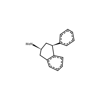 CN[C@@H]1Cc2ccccc2[C@H](c2ccccc2)C1